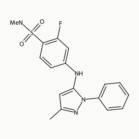 CNS(=O)(=O)c1ccc(Nc2cc(C)nn2-c2ccccc2)cc1F